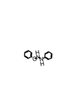 c1ccc(NNOc2ccccc2)cc1